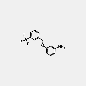 Nc1cccc(OCc2cccc(C(F)(F)F)c2)c1